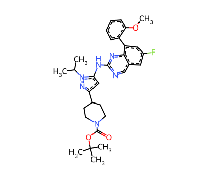 COc1ccccc1-c1cc(F)cc2cnc(Nc3cc(C4CCN(C(=O)OC(C)(C)C)CC4)nn3C(C)C)nc12